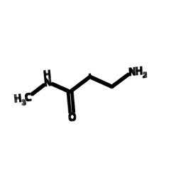 CNC(=O)[CH]CN